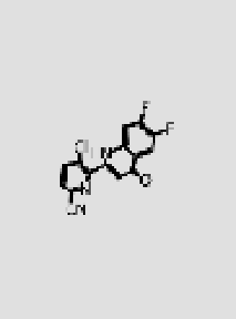 N#Cc1ccc(Cl)c(-c2cc(=O)c3cc(F)c(F)cc3[nH]2)n1